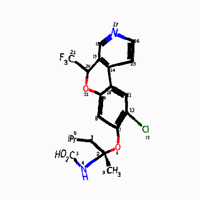 CC(C)C[C@@](C)(NC(=O)O)Oc1cc2c(cc1Cl)-c1ccncc1C(C(F)(F)F)O2